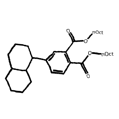 CCCCCCCCOC(=O)c1ccc(C2CCCC3CCCCC32)cc1C(=O)OCCCCCCCC